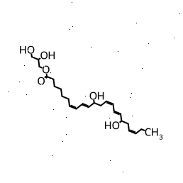 CC/C=C\CC(O)/C=C/C=C\CC(O)/C=C/C=C\CCCCCC(=O)OCC(O)CO